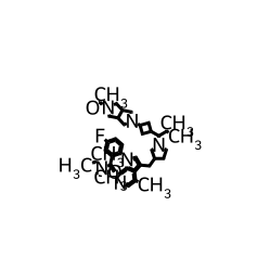 CC(=O)N1CC2CN(C3CC(C(C(C)C)N4CCC(Cc5cn(-c6ccc(F)cc6C(=O)N(C)C(C)C)c6cncc(C)c56)C4)C3)CC2C1